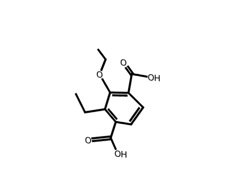 CCOc1c(C(=O)O)ccc(C(=O)O)c1CC